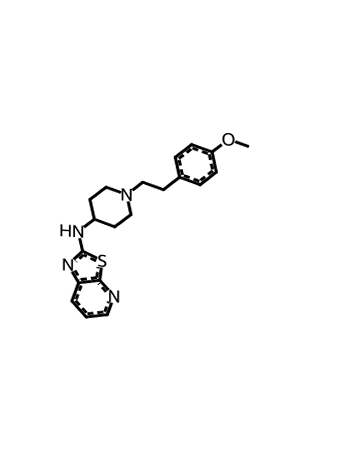 COc1ccc(CCN2CCC(Nc3nc4cccnc4s3)CC2)cc1